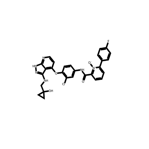 O=C(Nc1ccc(Oc2ccnc3[nH]nc(NCC4(O)CC4)c23)c(Cl)c1)c1cccc(-c2ccc(F)cc2)[n+]1[O-]